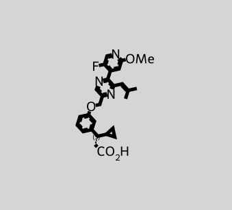 COc1cc(-c2ncc(COc3cccc([C@@H](CC(=O)O)C4CC4)c3)nc2C=C(C)C)c(F)cn1